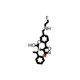 Cc1noc(-c2ccc(CNCCF)cc2)c1N(C(=O)O)C(C)c1ccccc1Cl